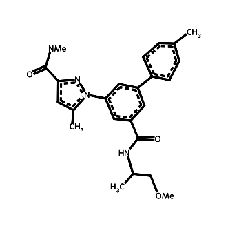 CNC(=O)c1cc(C)n(-c2cc(C(=O)NC(C)COC)cc(-c3ccc(C)cc3)c2)n1